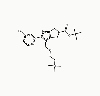 CC(C)(C)OC(=O)N1Cc2nc(-c3cc(Br)ccn3)n(COCC[Si](C)(C)C)c2C1